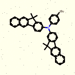 CC(C)(C)c1ccc(N(c2ccc3c(c2)C(C)(C)c2cc4ccccc4cc2-3)c2ccc3c(c2)C(C)(C)c2cc4ccccc4cc2-3)cc1